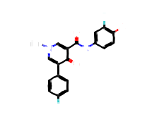 CC(C)n1cc(C(=O)Nc2ccc(O)c(F)c2)c(=O)c(-c2ccc(F)cc2)c1